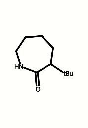 CC(C)(C)C1CCCCNC1=O